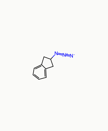 [N-]=[N+]=NC1Cc2ccccc2C1